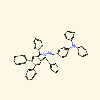 C(=Nn1c(-c2ccccc2)c2cc(-c3ccccc3)c(-c3ccccc3)cc2c1-c1ccccc1)c1ccc(N(c2ccccc2)c2ccccc2)cc1